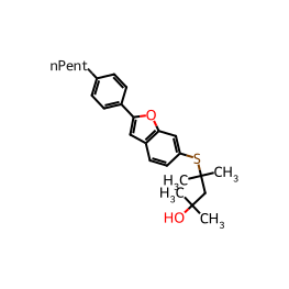 CCCCCc1ccc(-c2cc3ccc(SC(C)(C)CC(C)(C)O)cc3o2)cc1